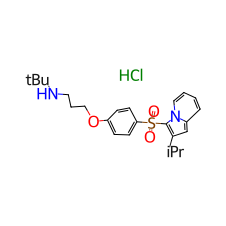 CC(C)c1cc2ccccn2c1S(=O)(=O)c1ccc(OCCCNC(C)(C)C)cc1.Cl